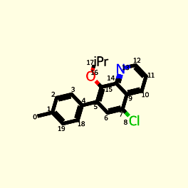 Cc1ccc(-c2cc(Cl)c3cccnc3c2OC(C)C)cc1